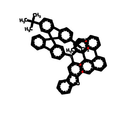 CC(C)(C)c1ccc2c(c1)C1(c3ccccc3-c3ccc(N(c4ccc5oc6ccccc6c5c4)c4ccccc4-c4cccc5cccc(-c6ccccc6)c45)cc31)c1cc(C(C)(C)C)ccc1-2